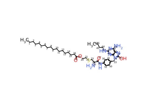 CCCCCCCCCCCCCCCCCC(=O)OCCSCC(N)C(=O)Nc1ccc(Cn2c(O)nc3c(N)nc(NCCCC)nc32)cc1